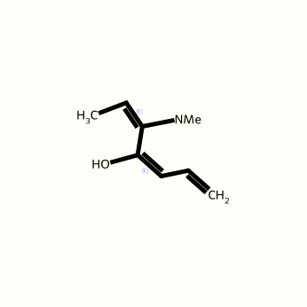 C=C/C=C(O)\C(=C/C)NC